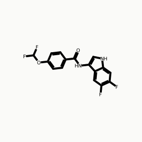 O=C(Nc1c[nH]c2cc(F)c(F)cc12)c1ccc(OC(F)F)cc1